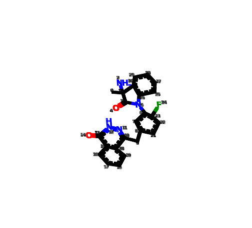 CC1(N)C(=O)N(c2cc(Cc3n[nH]c(=O)c4ccccc34)ccc2F)c2ccccc21